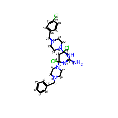 NC1=NC(Cl)(N2CCN(Cc3ccccc3)CC2)CC(Cl)(N2CCN(Cc3ccc(Cl)cc3)CC2)N1